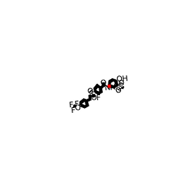 CS(=O)(=O)c1cc(NC(=O)c2ccc(S(=O)(=O)CCc3ccc(OC(F)(F)F)cc3)c(F)c2)ccc1O